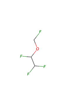 FCOC(F)C(F)F